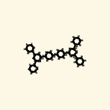 c1ccc(-c2cc(-c3ccccn3)nc(-c3ccc(-c4ccc(-c5nc(-c6ccccc6)nc(-c6ccccc6)n5)cc4)cn3)c2)cc1